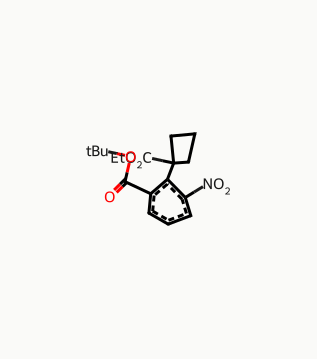 CCOC(=O)C1(c2c(C(=O)OC(C)(C)C)cccc2[N+](=O)[O-])CCC1